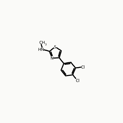 CNc1nc(-c2ccc(Cl)c(Cl)c2)cs1